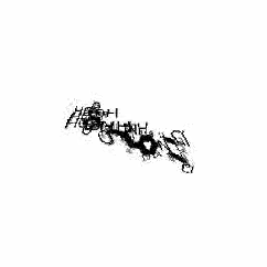 N[C@@H](Cc1ccc(N(CCCl)CCCl)cc1)C(=O)NCCC(O)(P(=O)(O)O)P(=O)(O)O